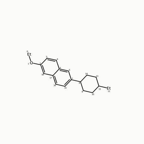 CCOc1ccc2cc(C3CCC(CC)CC3)ccc2c1